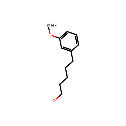 CCCCCCOc1cccc(CCCCC[O])c1